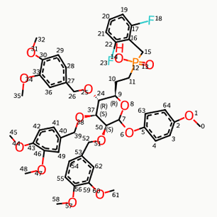 COc1ccc(OC2O[C@H](CCP(=O)(O)Cc3c(F)cccc3F)[C@@H](OCc3ccc(OC)c(OC)c3)[C@H](OCc3ccc(OC)c(OC)c3)[C@@H]2OCc2ccc(OC)c(OC)c2)cc1